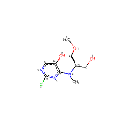 COC[C@@H](CO)N(C)c1nc(Cl)ncc1O